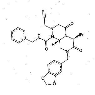 C#CCN1CC(=O)N2[C@@H](C(C)C)C(=O)N(Cc3ccc4c(c3)OCO4)C[C@@H]2N1C(=O)NCc1ccccc1